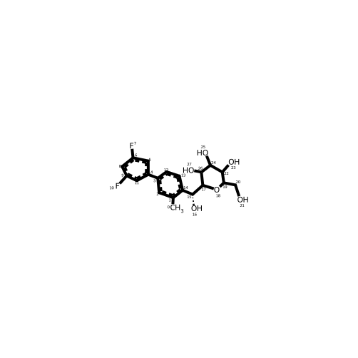 Cc1cc(-c2cc(F)cc(F)c2)ccc1[C@@H](O)C1OC(CO)C(O)C(O)C1O